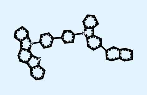 c1ccc2cc(-c3ccc4c(c3)c3ccccc3n4-c3ccc(-c4ccc(-n5c6ccccc6c6ccc7c8ccccc8sc7c65)cc4)cc3)ccc2c1